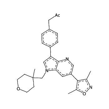 CC(=O)Cc1ccc(-c2cn(CC3(C)CCOCC3)c3cc(-c4c(C)noc4C)cnc23)cc1